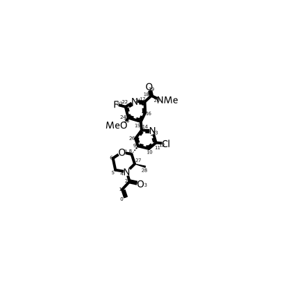 C=CC(=O)N1CCO[C@H](c2cc(Cl)nc(-c3cc(C(=O)NC)nc(F)c3OC)c2)[C@H]1C